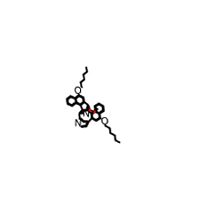 C=Cc1nc2c3c(c1-c1cc(OCCCCCC)c4ccccc4c1-3)-c1c(cc(OCCCCCC)c3ccccc13)-c1ccnc-2c1